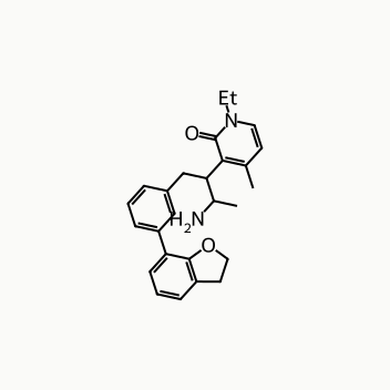 CCn1ccc(C)c(C(Cc2cccc(-c3cccc4c3OCC4)c2)C(C)N)c1=O